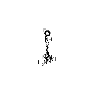 Nc1nc(Cl)nc2c1ncn2CCCCOCNCc1cccc(F)c1